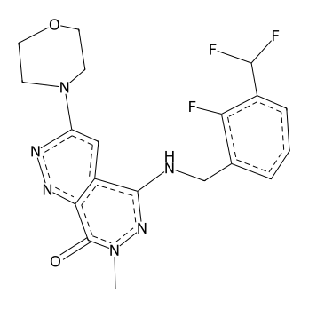 Cn1nc(NCc2cccc(C(F)F)c2F)c2cc(N3CCOCC3)nnc2c1=O